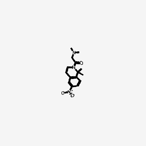 CN(C)CC(=O)N1CCc2cc([N+](=O)[O-])ccc2C1(C)C